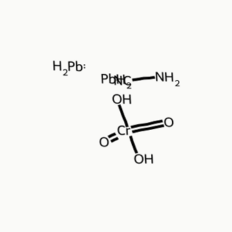 N#CN.[O]=[Cr](=[O])([OH])[OH].[PbH2].[PbH2]